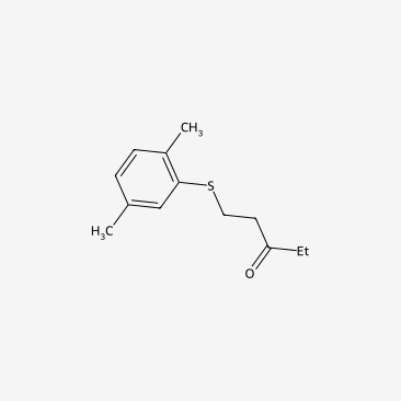 CCC(=O)CCSc1cc(C)ccc1C